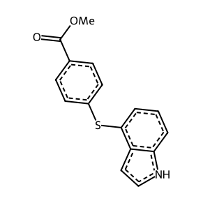 COC(=O)c1ccc(Sc2cccc3[nH]ccc23)cc1